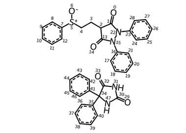 O=C1C(CC[S+]([O-])c2ccccc2)C(=O)N(c2ccccc2)N1c1ccccc1.O=C1NC(=O)C(c2ccccc2)(c2ccccc2)N1